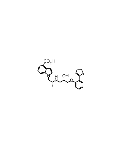 C[C@H](Cn1ccc2c(C(=O)O)cccc21)NC[C@H](O)COc1ccccc1-c1cccs1